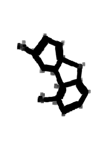 Oc1ccc2oc3cccc(Br)c3c2c1